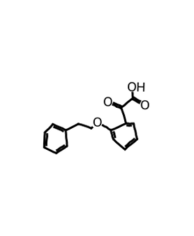 O=C(O)C(=O)c1ccccc1OCCc1ccccc1